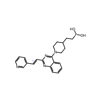 OP(O)CCC1CCN(c2nc(/C=C/c3cccnc3)nc3ccccc23)CC1